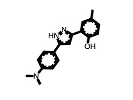 Cc1ccc(O)c(-c2cc(-c3ccc(N(C)C)cc3)[nH]n2)c1